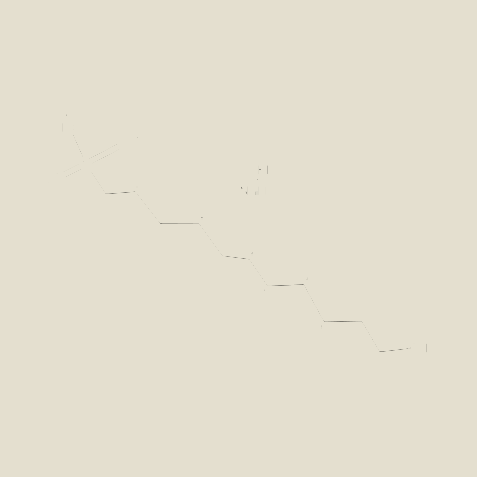 CCCCCCCC[CH]CCCS(=O)(=O)O.[KH].[NaH]